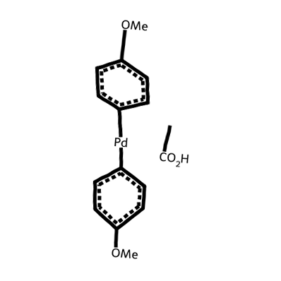 CC(=O)O.COc1cc[c]([Pd][c]2ccc(OC)cc2)cc1